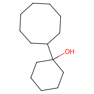 OC1(C2CCCCCCC2)CCCCC1